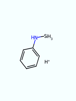 [H+].[SiH3]Nc1ccccc1